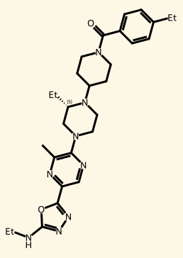 CCNc1nnc(-c2cnc(N3CCN(C4CCN(C(=O)c5ccc(CC)cc5)CC4)[C@@H](CC)C3)c(C)n2)o1